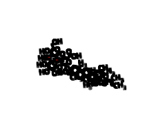 C/C=C(\C)C(=O)O[C@H]1[C@H](O)[C@]2(CO)[C@H](O)C[C@]3(C)C(=CCC4[C@@]5(C)CC[C@H](O[C@@H]6O[C@H](C(=O)O)C(O[C@@H]7O[C@H](CO)[C@@H](O)[C@H](O)[C@H]7O)[C@H](O)[C@H]6O[C@@H]6O[C@H](CO)[C@@H](O)[C@H](O)[C@H]6O)[C@](C)(CO)C5CC[C@]43C)[C@@H]2CC1(C)C